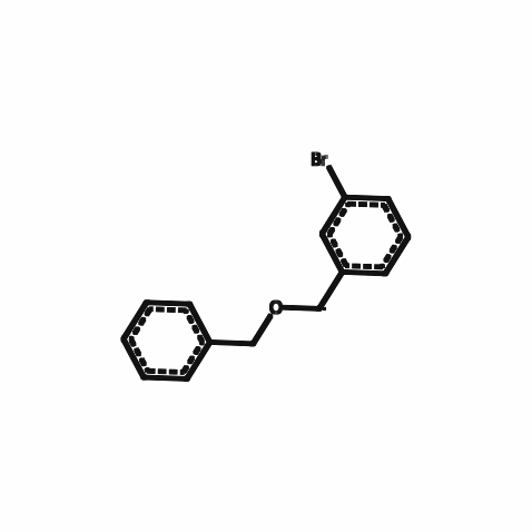 Brc1cccc([CH]OCc2ccccc2)c1